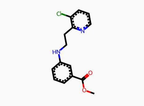 COC(=O)c1cccc(NCCc2ncccc2Cl)c1